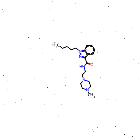 CCCCCn1nc(C(=O)NCCN2CCN(C)CC2)c2ccccc21